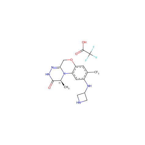 C[C@H]1C(=O)NN=C2COc3cc(C(F)(F)F)c(NC4CNC4)cc3N21.O=C(O)C(F)(F)F